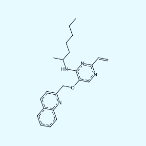 C=Cc1ncc(OCc2ccc3ccccc3n2)c(NC(C)CCCCC)n1